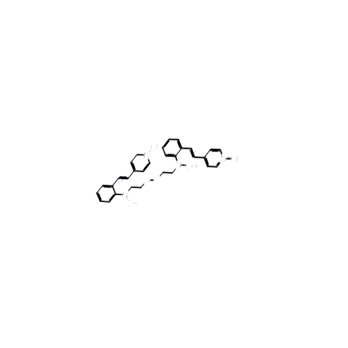 CCN1C=CC(/C=C/c2ccccc2N(C)CCSSCCN(C)c2ccccc2/C=C/c2cc[n+](CC)cc2)=CC1